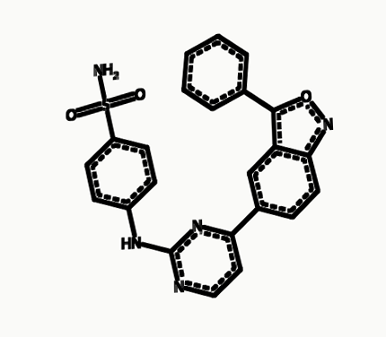 NS(=O)(=O)c1ccc(Nc2nccc(-c3ccc4noc(-c5ccccc5)c4c3)n2)cc1